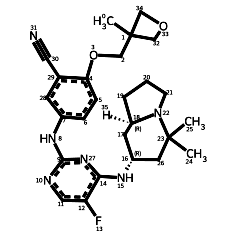 CC1(COc2ccc(Nc3ncc(F)c(N[C@@H]4C[C@H]5CCCN5C(C)(C)C4)n3)cc2C#N)COC1